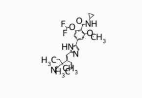 C/C=C\C(=C/c1ncc(-c2cc(OC)c(C(=O)NC3CC3)c(OC(F)F)c2)[nH]1)C(C)(C#N)CC